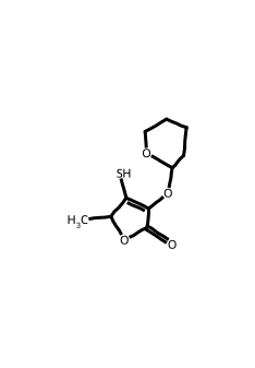 CC1OC(=O)C(OC2CCCCO2)=C1S